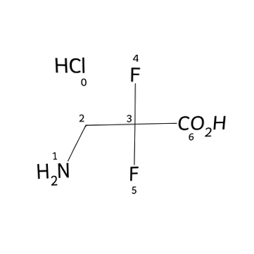 Cl.NCC(F)(F)C(=O)O